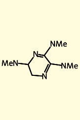 CNC1=NCC(NC)N=C1NC